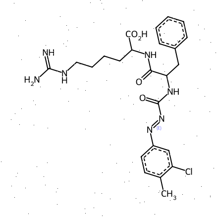 Cc1ccc(/N=N/C(=O)NC(Cc2ccccc2)C(=O)NC(CCCCNC(=N)N)C(=O)O)cc1Cl